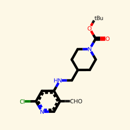 CC(C)(C)OC(=O)N1CCC(CNc2cc(Cl)ncc2C=O)CC1